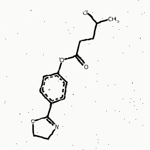 CC(Cl)CCC(=O)Oc1ccc(C2=NCCO2)cc1